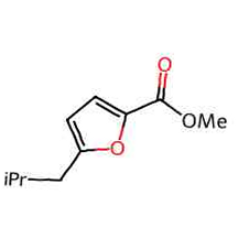 COC(=O)c1ccc(CC(C)C)o1